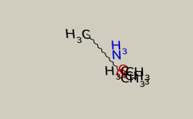 CCCCCCCCCCCCCCCCCC(=O)OC(C)C(C)(C)C.N